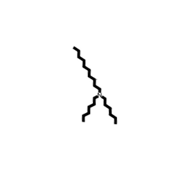 CCCCCCC[CH]CCN(CCCCCC)CCCCCC